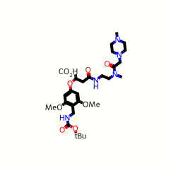 COc1cc(OC(CC(=O)NCCN(C)C(=O)CN2CCN(C)CC2)C(=O)O)cc(OC)c1CNC(=O)OC(C)(C)C